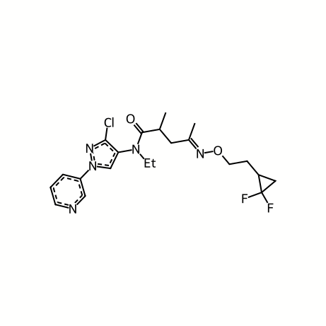 CCN(C(=O)C(C)C/C(C)=N/OCCC1CC1(F)F)c1cn(-c2cccnc2)nc1Cl